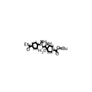 CCC(=O)C1CCC(N(N)CC(N)C2(C)CCN(C(=O)OC(C)(C)C)CC2)CC1